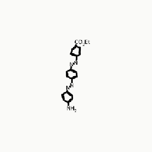 CCOC(=O)c1ccc(N=Nc2ccc(N=Nc3ccc(N)cc3)cc2)cc1